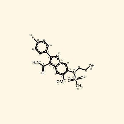 COc1cc2c(C(N)=O)c(-c3ccc(F)cc3)nn2cc1N(CCO)S(C)(=O)=O